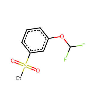 CCS(=O)(=O)c1cccc(OC(F)F)c1